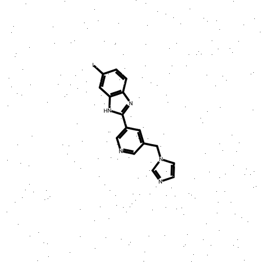 Ic1ccc2nc(-c3cncc(Cn4ccnc4)c3)[nH]c2c1